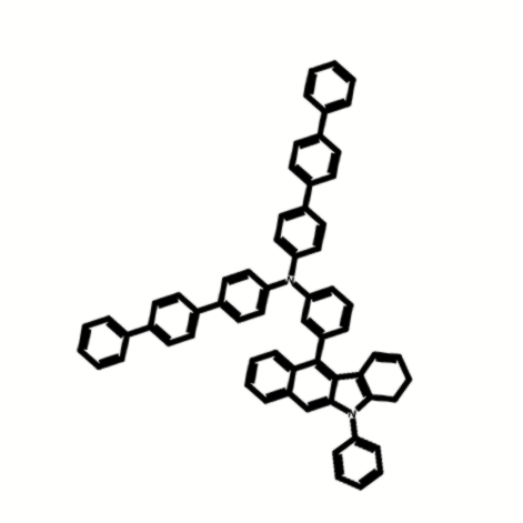 C1=Cc2c(n(-c3ccccc3)c3cc4ccccc4c(-c4cccc(N(c5ccc(-c6ccc(-c7ccccc7)cc6)cc5)c5ccc(-c6ccc(-c7ccccc7)cc6)cc5)c4)c23)CC1